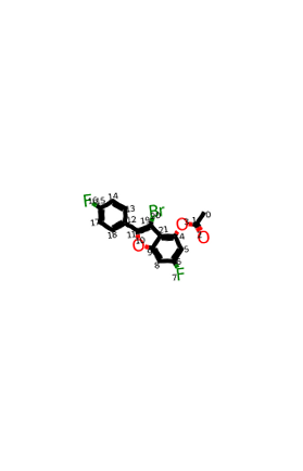 CC(=O)Oc1cc(F)cc2oc(-c3ccc(F)cc3)c(Br)c12